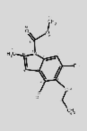 CCOc1c(F)cc2c(cc(C)n2C(=O)OC)c1F